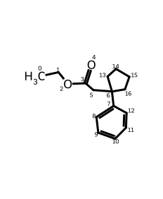 CCOC(=O)CC1(c2cc[c]cc2)CCCC1